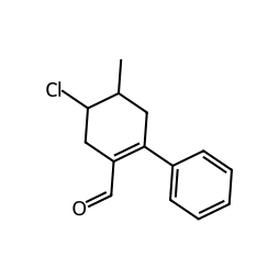 CC1CC(c2ccccc2)=C(C=O)CC1Cl